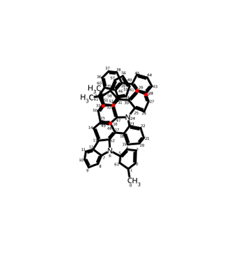 CC1C=CC=C(n2c3ccccc3c3cccc(-c4ccccc4N(c4ccccc4-c4cccc5cccc(-c6ccccc6)c45)c4cccc5c4-c4ccccc4C5(C)C)c32)C1